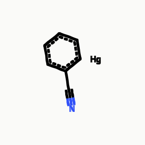 N#Cc1ccccc1.[Hg]